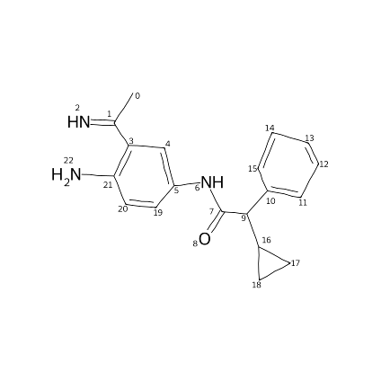 CC(=N)c1cc(NC(=O)C(c2ccccc2)C2CC2)ccc1N